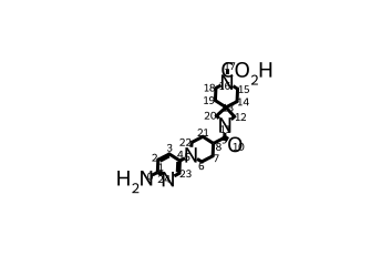 Nc1ccc(N2CCC(C(=O)N3CC4(CCN(C(=O)O)CC4)C3)CC2)cn1